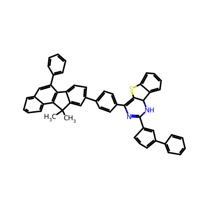 CC1(C)c2cc(-c3ccc(C4=C5Sc6ccccc6C5NC(c5cccc(-c6ccccc6)c5)=N4)cc3)ccc2-c2c(-c3ccccc3)cc3ccccc3c21